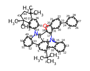 CC(C)(C)c1cc2c3c4c1c1ccccc1n4-c1c(oc4ccc(-c5ccccc5)cc14)B3N(c1ccc3c(c1)C(C)(C)CCC3(C)C)c1ccccc1-2